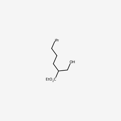 CCOC(=O)C(CO)CCCC(C)C